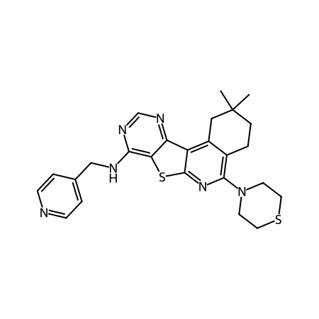 CC1(C)CCc2c(N3CCSCC3)nc3sc4c(NCc5ccncc5)ncnc4c3c2C1